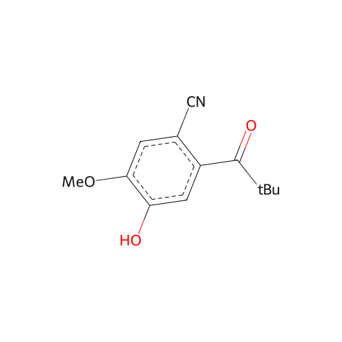 COc1cc(C#N)c(C(=O)C(C)(C)C)cc1O